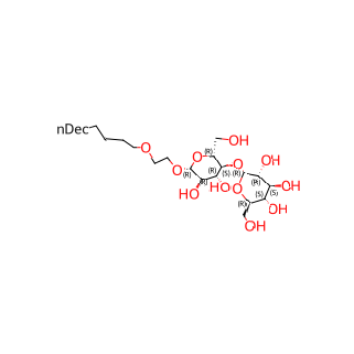 CCCCCCCCCCCCCCOCCO[C@@H]1O[C@H](CO)[C@@H](O[C@H]2O[C@H](CO)[C@@H](O)[C@H](O)[C@H]2O)[C@H](O)[C@H]1O